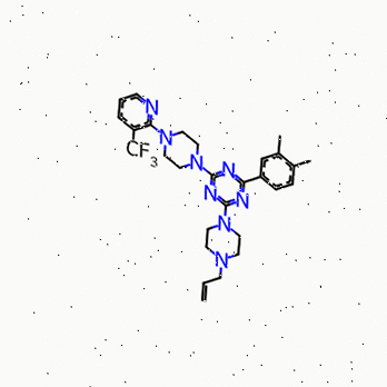 C=CCN1CCN(c2nc(-c3ccc(C)c(C)c3)nc(N3CCN(c4ncccc4C(F)(F)F)CC3)n2)CC1